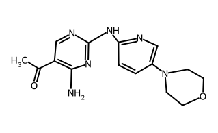 CC(=O)c1cnc(Nc2ccc(N3CCOCC3)cn2)nc1N